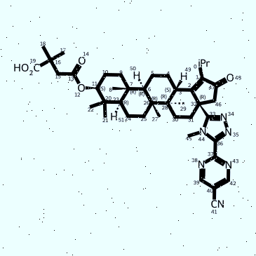 CC(C)C1=C2[C@H]3CC[C@@H]4[C@@]5(C)CC[C@H](OC(=O)CC(C)(C)C(=O)O)C(C)(C)[C@@H]5CC[C@@]4(C)[C@]3(C)CC[C@@]2(c2nnc(-c3ncc(C#N)cn3)n2C)CC1=O